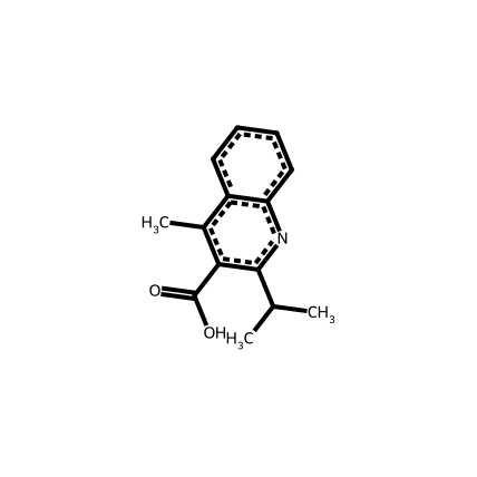 Cc1c(C(=O)O)c(C(C)C)nc2ccccc12